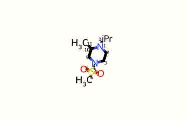 CC(C)N1CCN(S(C)(=O)=O)CC1C